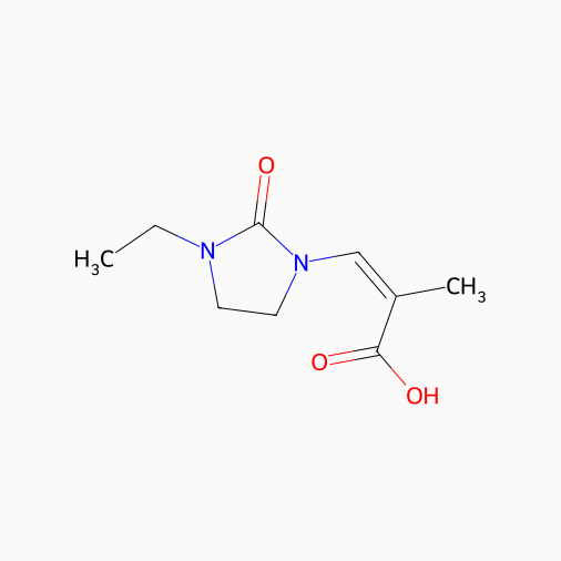 CCN1CCN(C=C(C)C(=O)O)C1=O